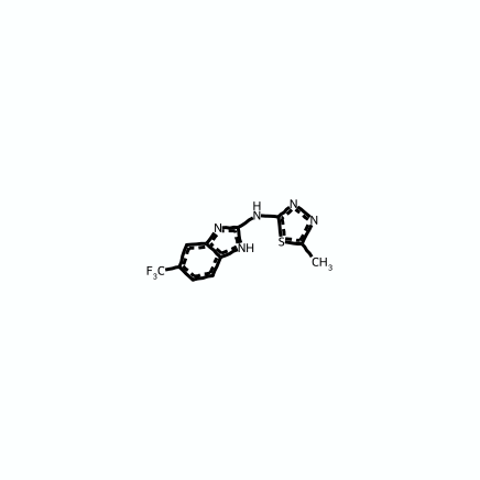 Cc1nnc(Nc2nc3cc(C(F)(F)F)ccc3[nH]2)s1